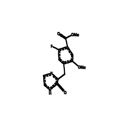 COC(=O)c1cc(OC)c(Cc2ncc[nH]c2=O)cc1F